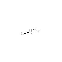 C=C1/C(=C\C=C2CCC[C@@]3(C)C2CC[C@@H]3C(C)(C)CCC(=O)C(C)(C)O)C[C@@H](O)C[C@H]1O